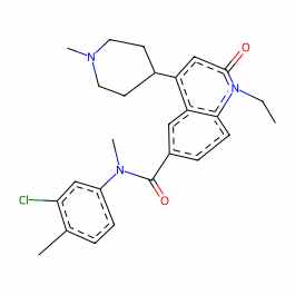 CCn1c(=O)cc(C2CCN(C)CC2)c2cc(C(=O)N(C)c3ccc(C)c(Cl)c3)ccc21